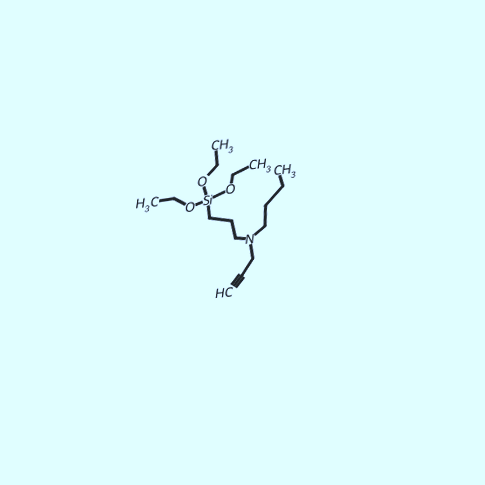 C#CCN(CCCC)CCC[Si](OCC)(OCC)OCC